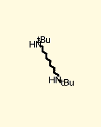 CC(C)(C)NCCCCCCCCCNC(C)(C)C